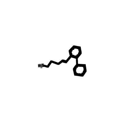 CCCCC=Cc1ccccc1-c1ccccc1